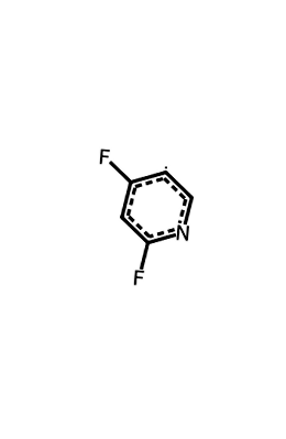 Fc1[c]cnc(F)c1